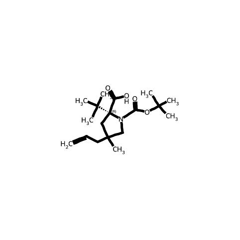 C=CCC1(C)CN(C(=O)OC(C)(C)C)[C@@](C(=O)O)(C(C)(C)C)C1